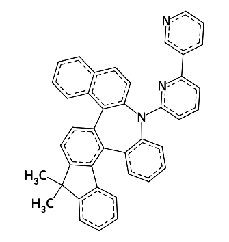 CC1(C)c2ccccc2-c2c1ccc1c2-c2ccccc2N(c2cccc(-c3cccnc3)n2)c2ccc3ccccc3c2-1